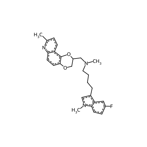 Cc1ccc2c3c(ccc2n1)OCC(CN(C)CCCCc1cn(C)c2ccc(F)cc12)O3